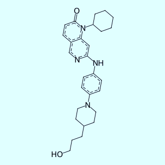 O=c1ccc2cnc(Nc3ccc(N4CCC(CCCO)CC4)cc3)cc2n1C1CCCCC1